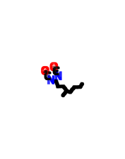 CCCCC(C)CCC(N=C=O)N=C=O